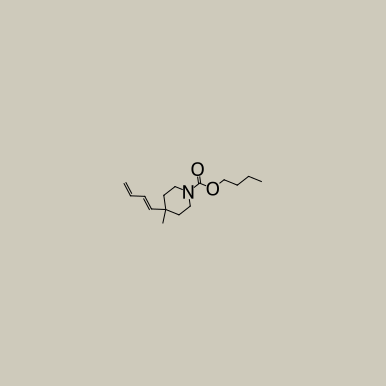 C=CC=CC1(C)CCN(C(=O)OCCCC)CC1